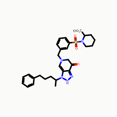 CCOC(=O)C1CCCCN1S(=O)(=O)c1cccc(CN2C=C3C(=NNN3C(C)CCCc3ccccc3)C(=O)C2)c1